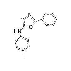 Cc1ccc(Nc2[c]nc(-c3ccccc3)o2)cc1